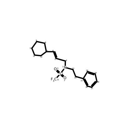 O=S(=O)(N(CC=CC1CCCCC1)CCc1ccccc1)C(F)(F)F